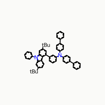 CC(C)(C)c1ccc2c3c(-c4cccc(N(c5ccc(-c6ccccc6)cc5)c5ccc(-c6ccccc6)cc5)c4)cc(C(C)(C)C)cc3n(-c3ccccc3)c2c1